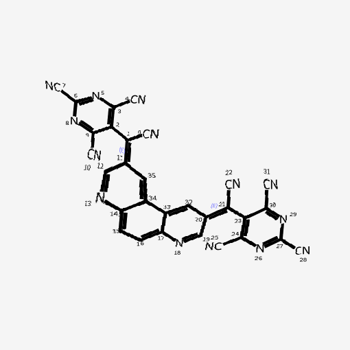 N#C/C(c1c(C#N)nc(C#N)nc1C#N)=c1/cnc2ccc3nc/c(=C(/C#N)c4c(C#N)nc(C#N)nc4C#N)cc3c2c1